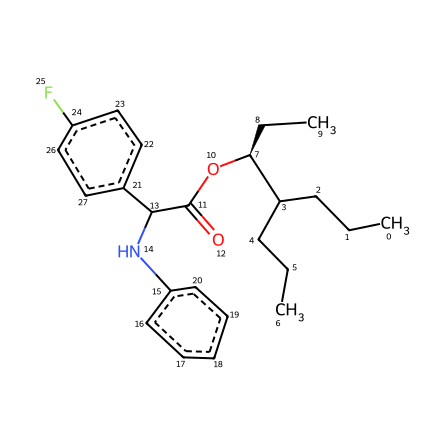 CCCC(CCC)[C@H](CC)OC(=O)C(Nc1ccccc1)c1ccc(F)cc1